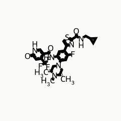 C[C@@H]1CN(c2cc(F)c(-c3csc(C(=O)NCC4CC4)n3)cc2NC(=O)c2c[nH]c(=O)cc2C(F)(F)F)C[C@H](C)N1C